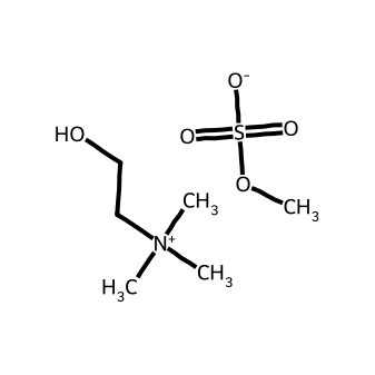 COS(=O)(=O)[O-].C[N+](C)(C)CCO